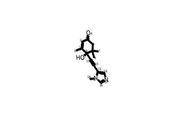 CC1=CC(=O)CC(C)(C)C1(O)C#Cc1cncn1C